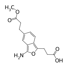 COC(=O)CCc1ccc2c(CCC(=O)O)oc(N)c2c1